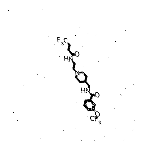 O=C(CCC(F)(F)F)NCCN1CCC(CNC(=O)c2cccc(OC(F)(F)F)c2)CC1